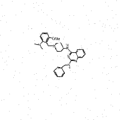 COc1cccc(N(C)C)c1CN1CCC(Nc2nc(NCc3ccccc3)nc3ccccc23)CC1